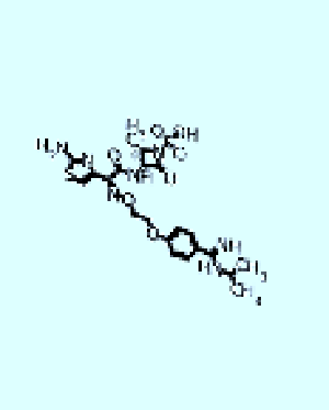 CC(C)NC(=N)c1ccc(OCCON=C(C(=O)N[C@@H]2C(=O)N(S(=O)(=O)O)[C@H]2C)c2csc(N)n2)cc1